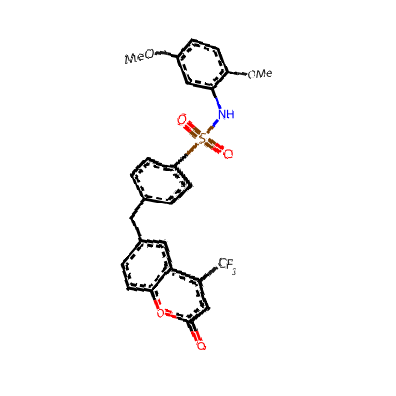 COc1ccc(OC)c(NS(=O)(=O)c2ccc(Cc3ccc4oc(=O)cc(C(F)(F)F)c4c3)cc2)c1